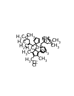 C=C(C[C]1([Zr+2]([C]2(CC(=C)C[Si](C)(C)C)C=CC=C2)[C]2(C)C(C)=C(C)C(C)=C2C)C=CC=C1)C[Si](C)(C)C.[Cl-].[Cl-]